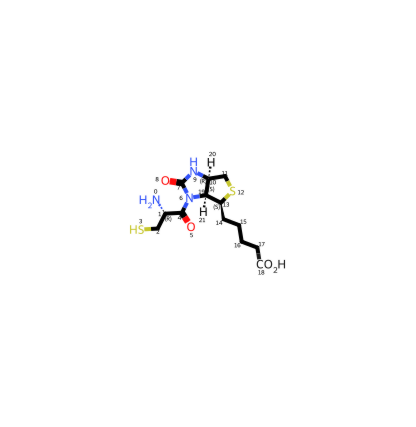 N[C@@H](CS)C(=O)N1C(=O)N[C@H]2CS[C@@H](CCCCC(=O)O)[C@H]21